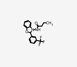 CCCC(=O)NN1c2ccccc2OC1c1cccc(C(F)(F)F)c1